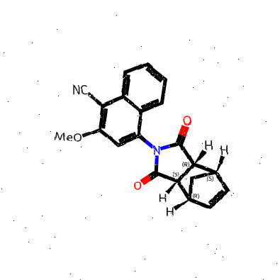 COc1cc(N2C(=O)[C@@H]3[C@H](C2=O)[C@@H]2C=C[C@H]3C2)c2ccccc2c1C#N